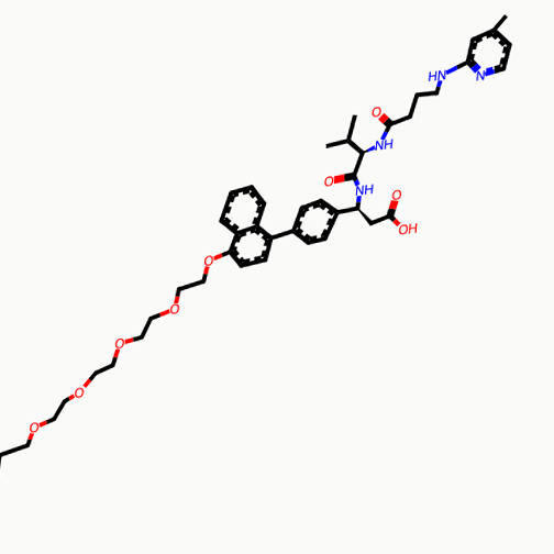 CCCOCCOCCOCCOCCOc1ccc(-c2ccc([C@H](CC(=O)O)NC(=O)[C@H](NC(=O)CCCNc3cc(C)ccn3)C(C)C)cc2)c2ccccc12